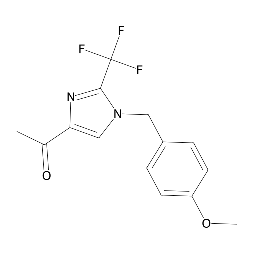 COc1ccc(Cn2cc(C(C)=O)nc2C(F)(F)F)cc1